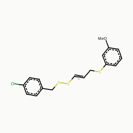 COc1cccc(SC/C=C/SSCc2ccc(Cl)cc2)c1